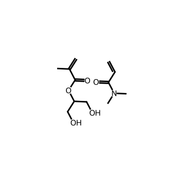 C=C(C)C(=O)OC(CO)CO.C=CC(=O)N(C)C